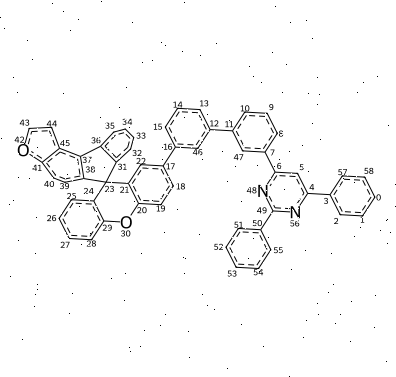 c1ccc(-c2cc(-c3cccc(-c4cccc(-c5ccc6c(c5)C5(c7ccccc7O6)c6ccccc6-c6c5ccc5occc65)c4)c3)nc(-c3ccccc3)n2)cc1